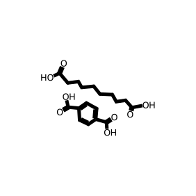 O=C(O)CCCCCCCCC(=O)O.O=C(O)c1ccc(C(=O)O)cc1